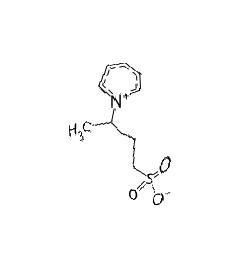 CC(CCS(=O)(=O)[O-])[n+]1ccccc1